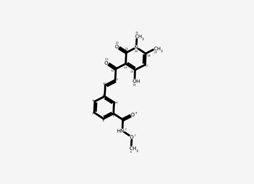 CONC(=O)c1cccc(C=CC(=O)c2c(O)cc(C)n(C)c2=O)c1